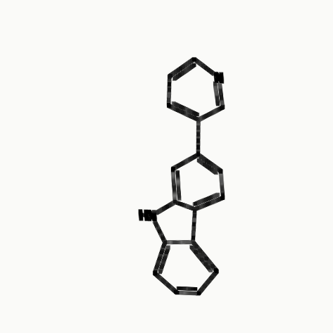 c1cncc(-c2ccc3c(c2)[nH]c2ccccc23)c1